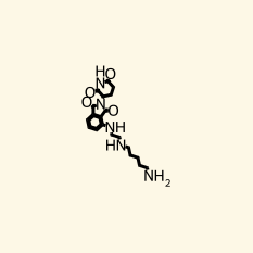 NCCCCCNCCNc1cccc2c1C(=O)N(C1CCC(=O)NC1=O)C2=O